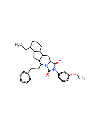 CCC1CCCC2C1CC1C2CC2C(=O)N(c3cccc(OC)c3)C(=O)N2C1CCc1ccccc1